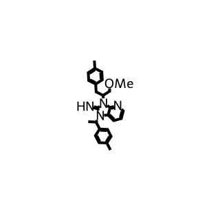 COCC(Cc1ccc(C)cc1)n1c(=N)n(C(C)c2ccc(C)cc2)c2cccnc21